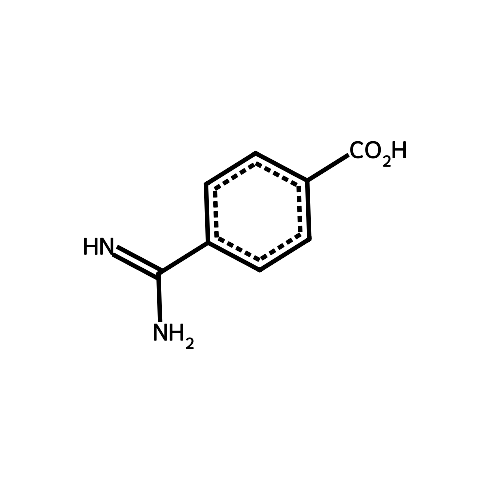 N=C(N)c1ccc(C(=O)O)cc1